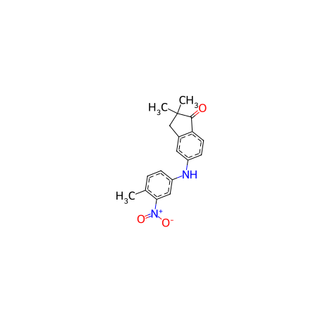 Cc1ccc(Nc2ccc3c(c2)CC(C)(C)C3=O)cc1[N+](=O)[O-]